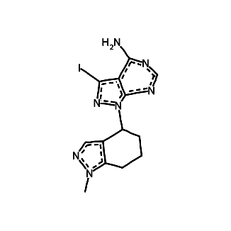 Cn1ncc2c1CCCC2n1nc(I)c2c(N)ncnc21